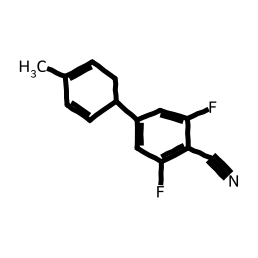 CC1=CCC(c2cc(F)c(C#N)c(F)c2)C=C1